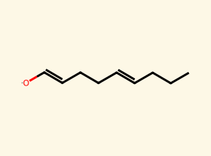 CCCC=CCCC=C[O]